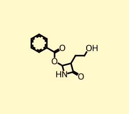 O=C(OC1NC(=O)C1CCO)c1ccccc1